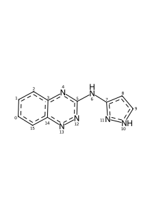 c1ccc2nc(Nc3cc[nH]n3)nnc2c1